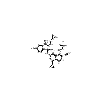 BC(Nc1cc(C2CC2)c2ncc(C#N)c(NCC(C)(C)C)c2c1)(C1=CN(C2CC2)NN1)c1ccc(F)cc1